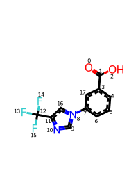 O=C(O)c1cccc(-n2cnc(C(F)(F)F)c2)c1